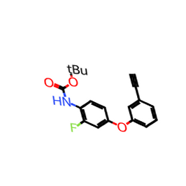 C#Cc1cccc(Oc2ccc(NC(=O)OC(C)(C)C)c(F)c2)c1